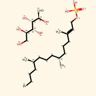 C/C(=C\COP(=O)(O)O)CCC[C@H](C)CCC[C@H](C)CCCC(C)C.O=C[C@@H](O)[C@@H](O)[C@H](O)[C@H](O)CO